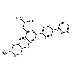 CC(C)Cn1nc(-c2ccc(-c3ccccc3)cc2)cc(CN2CCN(C)CC2)c1=O